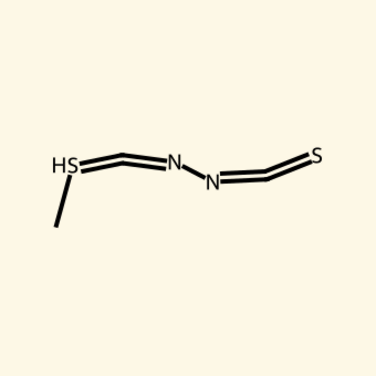 C[SH]=C=NN=C=S